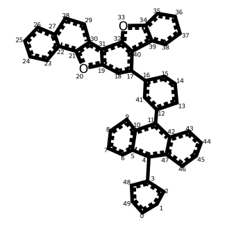 c1ccc(-c2c3ccccc3c(-c3cccc(-c4cc5oc6c7ccccc7ccc6c5c5oc6ccccc6c45)c3)c3ccccc23)cc1